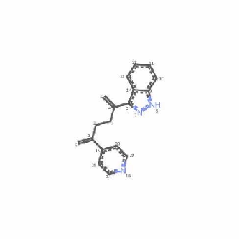 C=C(CCC(=C)c1n[nH]c2ccccc12)c1ccncc1